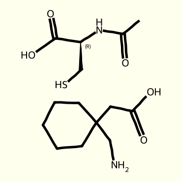 CC(=O)N[C@@H](CS)C(=O)O.NCC1(CC(=O)O)CCCCC1